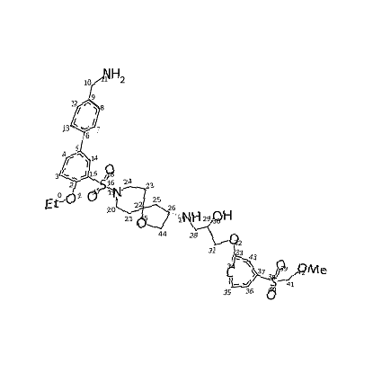 CCOc1ccc(-c2ccc(CN)cc2)cc1S(=O)(=O)N1CCC2(CC1)C[C@H](NCC(O)COc1cccc(S(=O)(=O)COC)c1)CO2